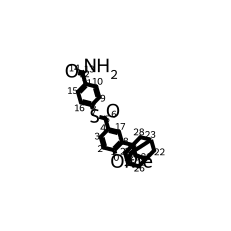 COc1ccc(C(=O)Sc2ccc(C(N)=O)cc2)cc1C12CC3CC(CC(C3)C1)C2